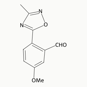 COc1ccc(-c2nc(C)no2)c(C=O)c1